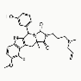 C=CCN(C)CCCN1C(=O)N2C(c3cccc(O)c3)c3[nH]c4ccc(OC)c(F)c4c3CC2(C)C1=O